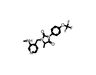 CNc1cnccc1CN1C(=O)N(c2ccc(OC(F)(F)F)cc2)C(=O)C1C